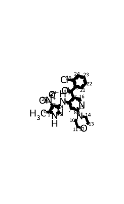 Cc1[nH]nc(Nc2cc(N3CCOCC3)ncc2C(=O)c2ccccc2Cl)c1[N+](=O)[O-]